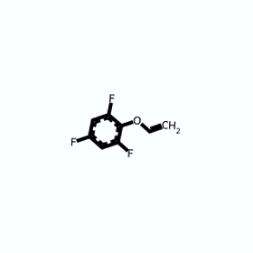 C=COc1c(F)cc(F)cc1F